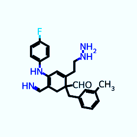 Cc1cccc(CC2(C=O)CC(C=N)=C(Nc3ccc(F)cc3)C=C2CCNN)c1